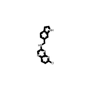 Clc1ccc2ncc(NCc3ccc4cc[nH]c4c3)nc2n1